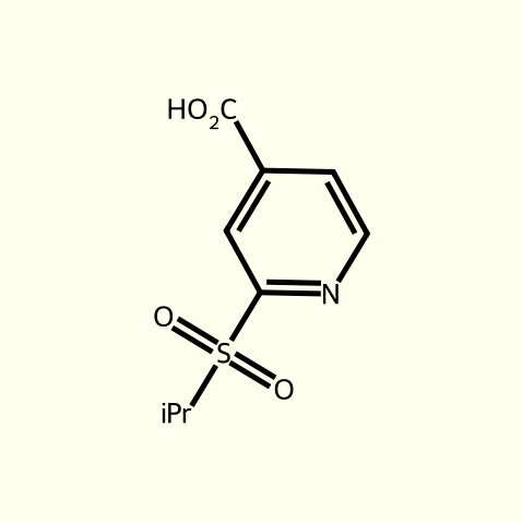 CC(C)S(=O)(=O)c1cc(C(=O)O)ccn1